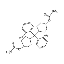 CCCc1ccccc1C(c1ccccc1CCC)(C1CCC(OC(N)=O)CC1)C1CCC(OC(N)=O)CC1